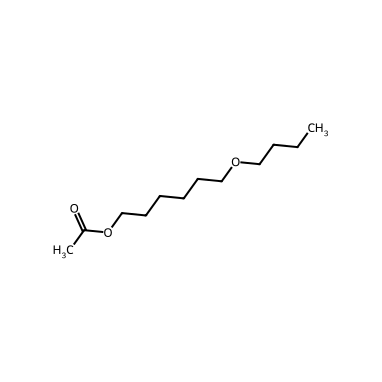 CCCCOCCCCCCOC(C)=O